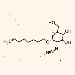 C=CCCCCCCO[C@@H]1OC(CO)[C@@H](O)C(O)[C@@H]1N=[N+]=[N-]